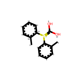 Cc1ccccc1S(=C(O)O)c1ccccc1C